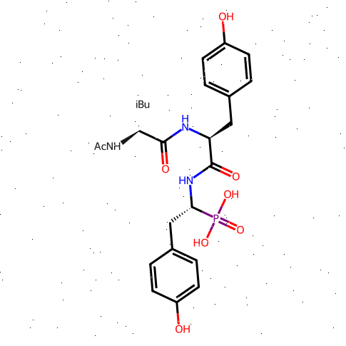 CC[C@H](C)[C@H](NC(C)=O)C(=O)N[C@@H](Cc1ccc(O)cc1)C(=O)N[C@@H](Cc1ccc(O)cc1)P(=O)(O)O